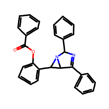 O=C(Oc1ccccc1C1C2C(c3ccccc3)=NC(c3ccccc3)N21)c1ccccc1